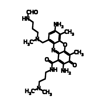 Cc1c2oc3c(C)c(N)cc(CN(C)CCCNC=O)c3nc-2c(C(=O)NCCCN(C)C)c(N)c1=O